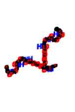 CCCCc1cn(CCC(=O)N(CCOCCOCCOCCOCCC(=O)NCCC(C)(C)OCCC(C)(C)C(=O)NCCC(C)(C)OCCC(C)(C)C(=O)NCC(C)(C)CCC(C)(C)C)CCOCCOCCOCCOCCC(=O)NCCC(C)(C)OCCC(C)(C)C(=O)NCCC(C)(C)OCCC(C)(C)C(=O)NCC(C)(C)CCC(C)(C)C)nn1